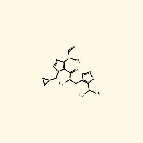 CC(C)c1oncc1CN(C)C(=O)c1c(N(C)C=O)ncn1CC1CC1